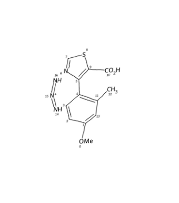 COc1ccc(-c2ncsc2C(=O)O)c(C)c1.N=[N+]=N